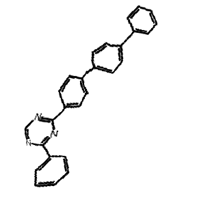 c1ccc(-c2ccc(-c3ccc(-c4ncnc(-c5ccccc5)n4)cc3)cc2)cc1